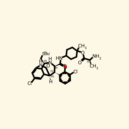 C[C@H](N)C(=O)OC1(C)CCC(NC(=O)[C@@H]2N[C@H](CC(C)(C)C)C3C4=CC(Cl)=CC3[C@@H](C(=O)N4)[C@H]2c2cccc(Cl)c2F)CC1